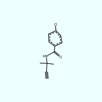 C#CC(C)(C)NC(=O)c1ccc(Cl)cc1